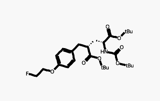 CC(C)(C)OC(=O)N[C@H](C[C@@H](Cc1ccc(OCCF)cc1)C(=O)OC(C)(C)C)C(=O)OC(C)(C)C